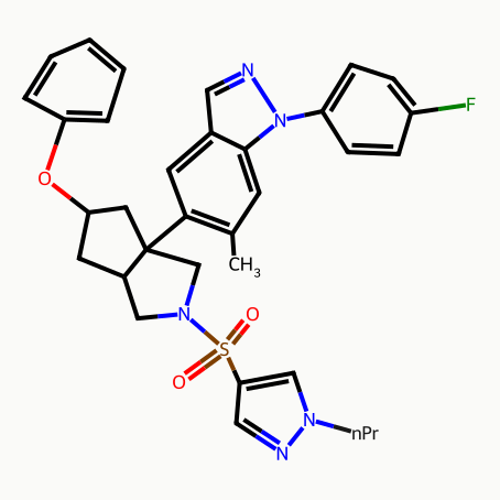 CCCn1cc(S(=O)(=O)N2CC3CC(Oc4ccccc4)CC3(c3cc4cnn(-c5ccc(F)cc5)c4cc3C)C2)cn1